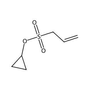 C=CCS(=O)(=O)OC1CC1